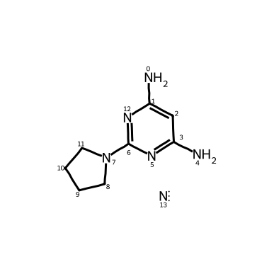 Nc1cc(N)nc(N2CCCC2)n1.[N]